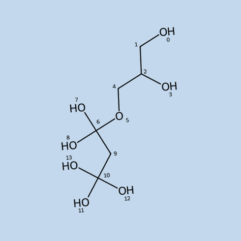 OCC(O)COC(O)(O)CC(O)(O)O